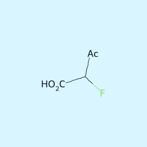 CC(=O)C(F)C(=O)O